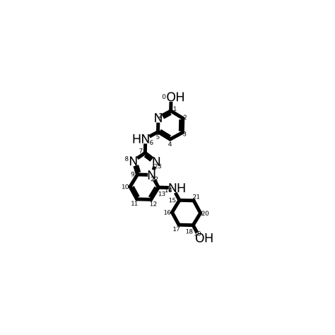 Oc1cccc(Nc2nc3cccc(NC4CCC(O)CC4)n3n2)n1